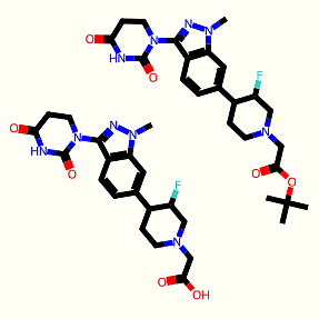 Cn1nc(N2CCC(=O)NC2=O)c2ccc(C3CCN(CC(=O)O)CC3F)cc21.Cn1nc(N2CCC(=O)NC2=O)c2ccc(C3CCN(CC(=O)OC(C)(C)C)CC3F)cc21